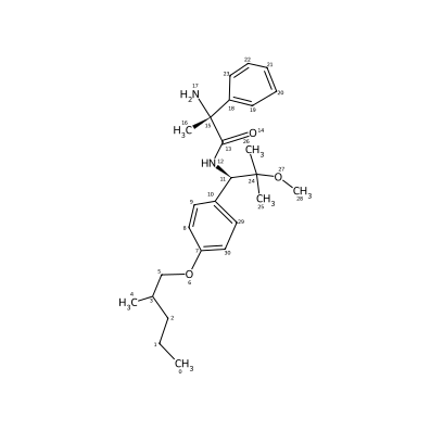 CCCC(C)COc1ccc([C@@H](NC(=O)[C@](C)(N)c2ccccc2)C(C)(C)OC)cc1